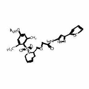 COc1cc(C)c(S(=O)(=O)N2CCCCC2COCC(=O)Nc2cc(-c3cccs3)n[nH]2)c(C)c1